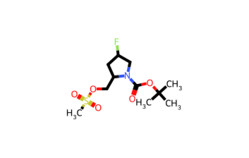 CC(C)(C)OC(=O)N1CC(F)CC1COS(C)(=O)=O